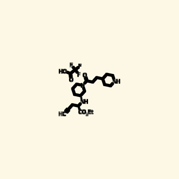 C#CC[C@@H](N[C@@H]1CCCN(C(=O)CCC2CCNCC2)C1)C(=O)OCC.O=C(O)C(F)(F)F